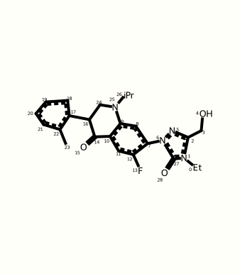 CCn1c(CO)nn(-c2cc3c(cc2F)C(=O)C(c2ccccc2C)CN3C(C)C)c1=O